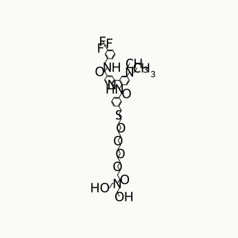 CCN(CC)c1ccc(NC(=O)c2cccc(CSCCOCCOCCOCCOCCC(=O)N(CCO)CCO)c2)c(-c2cc(C(=O)NCc3cccc(C(F)(F)F)c3)ccn2)c1